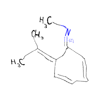 C/N=C1/C=CC=CC1=C(C)C